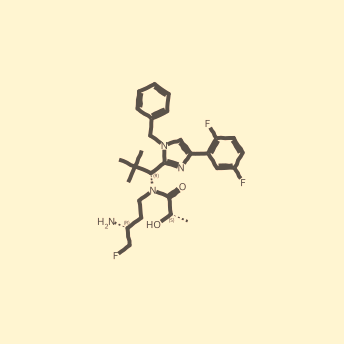 C[C@H](O)C(=O)N(CC[C@@H](N)CF)[C@@H](c1nc(-c2cc(F)ccc2F)cn1Cc1ccccc1)C(C)(C)C